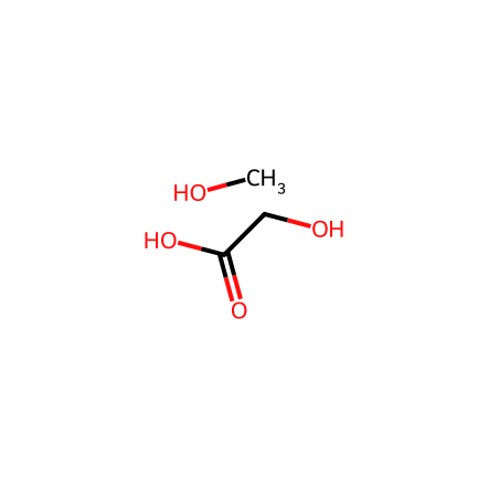 CO.O=C(O)CO